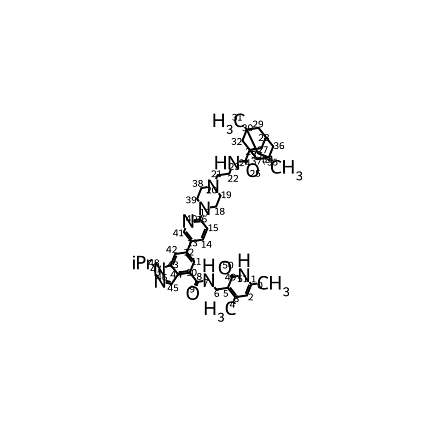 Cc1cc(C)c(CNC(=O)c2cc(-c3ccc(N4CCN(CCNC(=O)C56CC7CC(C)(C5)C[C@](C)(C7)C6)CC4)nc3)cc3c2cnn3C(C)C)c(=O)[nH]1